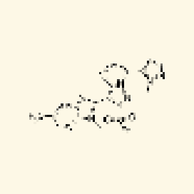 CCS(=O)(=O)c1nn2c(-c3ccnn3C)ccnc2c1-c1nc2cc(C(F)(F)F)cnc2n1C